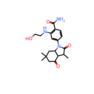 CC1C(=O)N(c2ccc(C(N)=O)c(NCCO)c2)C2CC(C)(C)CC(=O)C12